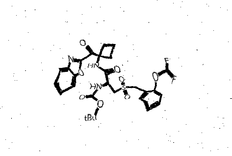 CC(C)(C)OC(=O)NC(CS(=O)(=O)Cc1ccccc1OC(F)F)C(=O)NC1(C(=O)c2nc3ccccc3o2)CCC1